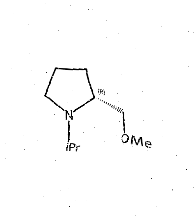 COC[C@H]1CCCN1C(C)C